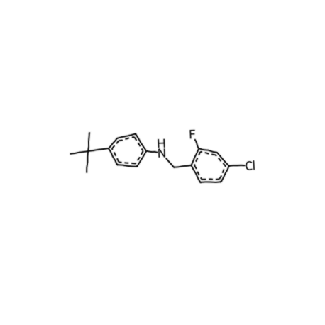 CC(C)(C)c1ccc(NCc2ccc(Cl)cc2F)cc1